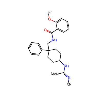 CN/C(=N\C#N)NC1CCC(CNC(=O)c2ccccc2OC(C)C)(c2ccccc2)CC1